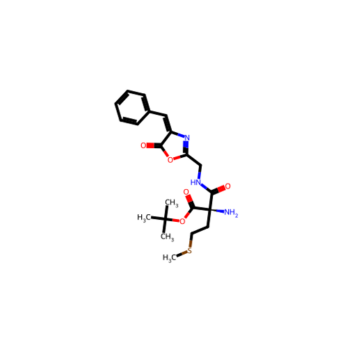 CSCC[C@@](N)(C(=O)NCC1=NC(=Cc2ccccc2)C(=O)O1)C(=O)OC(C)(C)C